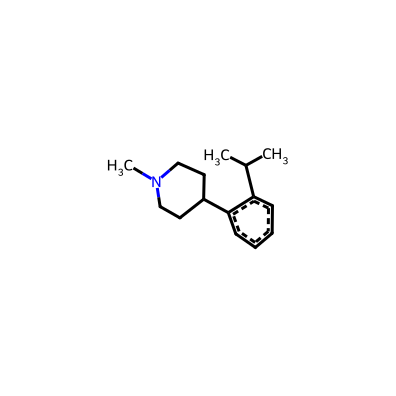 CC(C)c1ccccc1C1CCN(C)CC1